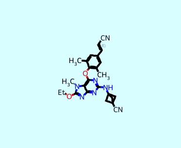 CCOc1nc2nc(NC34CC(C#N)(C3)C4)nc(Oc3c(C)cc(/C=C/C#N)cc3C)c2n1C